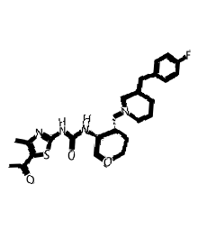 CC(=O)c1sc(NC(=O)N[C@@H]2COCC[C@H]2CN2CCCC(Cc3ccc(F)cc3)C2)nc1C